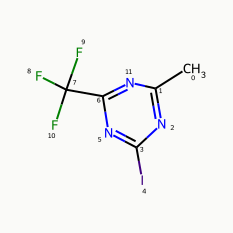 Cc1nc(I)nc(C(F)(F)F)n1